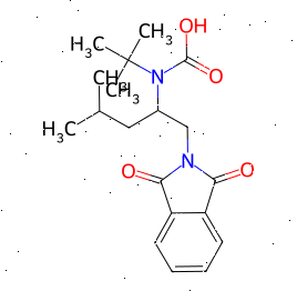 CC(C)CC(CN1C(=O)c2ccccc2C1=O)N(C(=O)O)C(C)(C)C